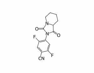 N#Cc1cc(F)c(N2C(=O)C3CCCCN3C2=O)cc1F